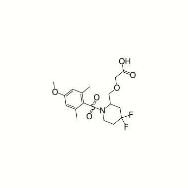 COc1cc(C)c(S(=O)(=O)N2CCC(F)(F)CC2COCC(=O)O)c(C)c1